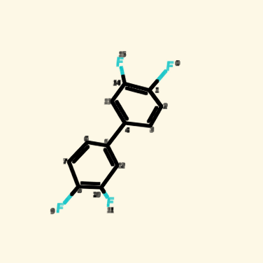 Fc1ccc(-c2ccc(F)c(F)c2)cc1F